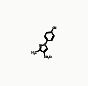 CCOC(=O)c1cn(-c2ccc(C#N)cc2)nc1C